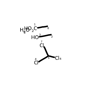 CC(=O)O.CO.ClC(Cl)Cl.O